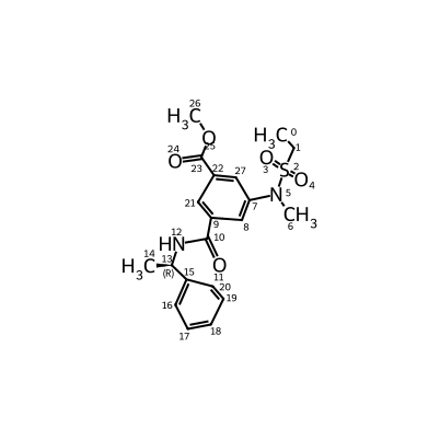 CCS(=O)(=O)N(C)c1cc(C(=O)N[C@H](C)c2ccccc2)cc(C(=O)OC)c1